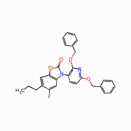 CCCc1cc2oc(=O)n(-c3ccc(OCc4ccccc4)nc3OCc3ccccc3)c2cc1F